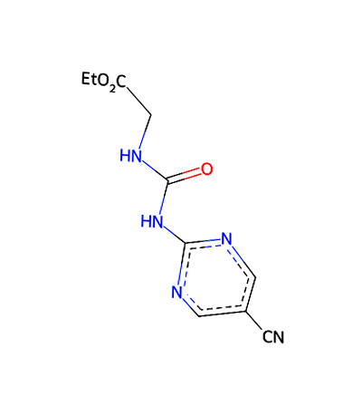 CCOC(=O)CNC(=O)Nc1ncc(C#N)cn1